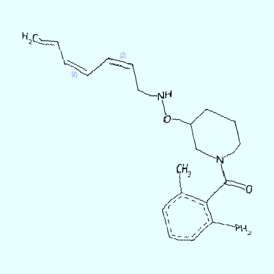 C=C/C=C\C=C/CNOC1CCCN(C(=O)c2c(C)cccc2P)C1